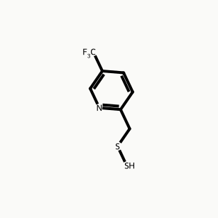 FC(F)(F)c1ccc(CSS)nc1